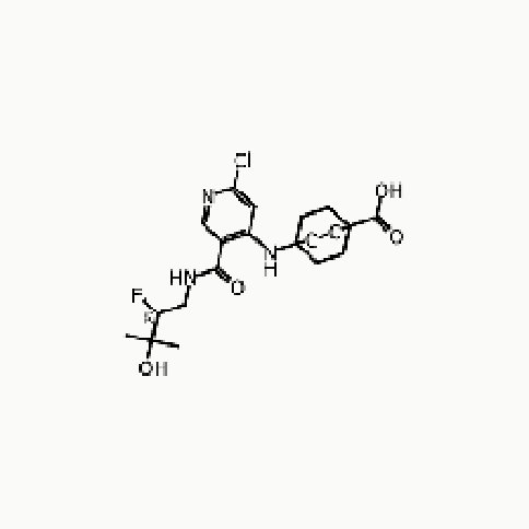 CC(C)(O)[C@@H](F)CNC(=O)c1cnc(Cl)cc1NC12CCC(C(=O)O)(CC1)CC2